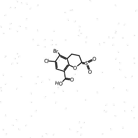 O=C(O)c1cc(Cl)c(Br)c2c1OC(=S(=O)=O)CC2